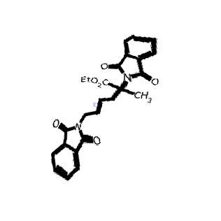 CCOC(=O)C(C)(C/C=C/CN1C(=O)c2ccccc2C1=O)N1C(=O)c2ccccc2C1=O